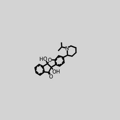 CC(C)N1CCCCC1c1ccc2c(c1)OC1(O)c3ccccc3C(=O)C21O